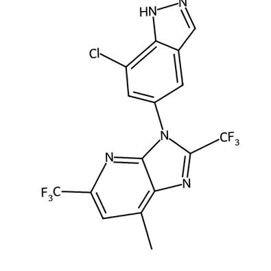 Cc1cc(C(F)(F)F)nc2c1nc(C(F)(F)F)n2-c1cc(Cl)c2[nH]ncc2c1